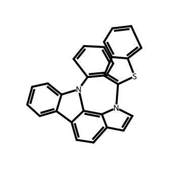 c1ccc(-n2c3ccccc3c3ccc4ccn(-c5cc6ccccc6s5)c4c32)cc1